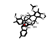 COc1c(C)cc2c(c1O)C1NC(C2)[C@H](O)N2[C@H]1[C@@H]1SC[C@]3(NCCc4c3[nH]c3ccc(C)cc43)C(=O)OC[C@H]2c2c3c(c(C)c(OC(C)=O)c21)OCO3